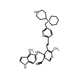 Cc1ncc(C#N)c(Nc2ccc3[nH]ccc3c2C)c1/C=C/c1ccc(C[N+]2(C3CCNCC3)CCCCC2)cn1